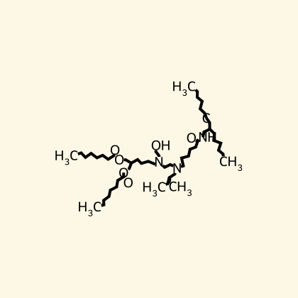 CCCCCCCCC(CCCCCC)CNC(=O)CCCCCN(CC=C(C)C)CCN(CCO)CCCCC(COC(=O)CCCCCCC)COC(=O)CCCCCCC